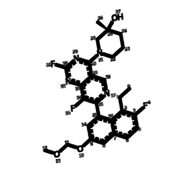 CCc1c(F)ccc2cc(OCOC)cc(-c3ncc4c(N5CCC[C@@](C)(O)C5)nc(F)nc4c3F)c12